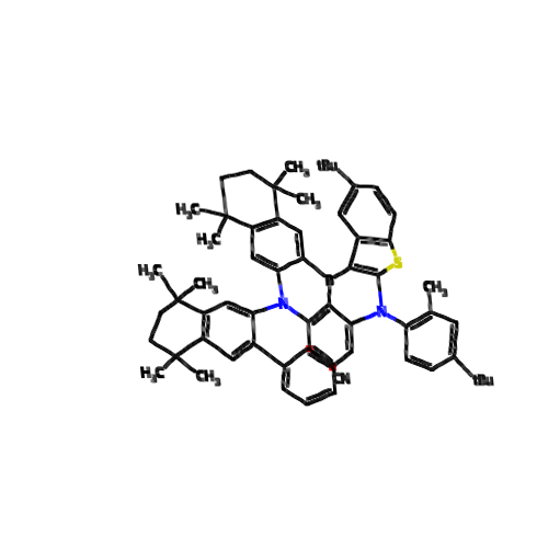 Cc1cc(C(C)(C)C)ccc1N1c2cc(C#N)cc3c2B(c2cc4c(cc2N3c2cc3c(cc2-c2ccccc2)C(C)(C)CCC3(C)C)C(C)(C)CCC4(C)C)c2c1sc1ccc(C(C)(C)C)cc21